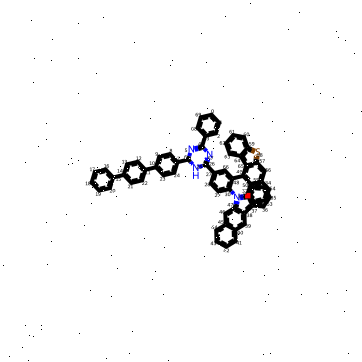 c1ccc(C2=NC(c3ccc(-c4ccc(-c5ccccc5)cc4)cc3)NC(c3ccc(-n4c5ccccc5c5cc6ccccc6cc54)c(-c4c5ccccc5cc5sc6ccccc6c45)c3)=N2)cc1